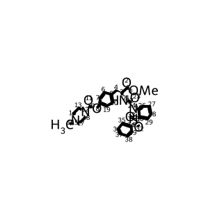 COC(=O)[C@H](Cc1ccc(OC(=O)N2CCN(C)CC2)cc1)NC(=O)Nc1ccccc1S(=O)(=O)c1ccccc1